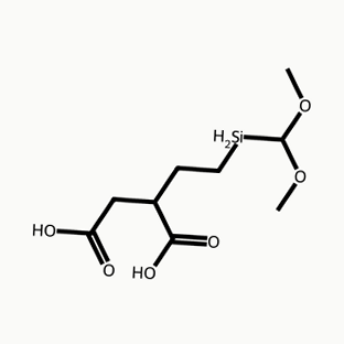 COC(OC)[SiH2]CCC(CC(=O)O)C(=O)O